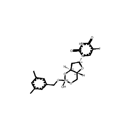 Cc1cc(C)cc(CO[PH]2(O)OC[C@H]3O[C@@H](n4cc(F)c(=O)[nH]c4=O)C[C@@H]3O2)c1